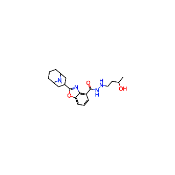 CC(O)CCNNC(=O)c1cccc2oc(C3CC4CCCC(C3)N4C)nc12